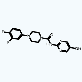 O=C(Nc1ncc(O)cn1)N1CCN(c2ccc(F)c(F)c2)CC1